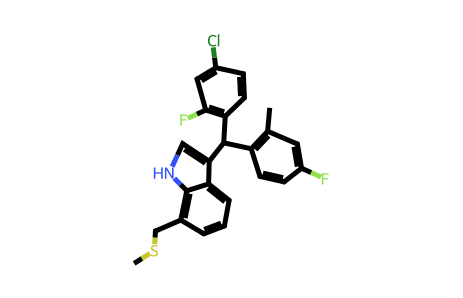 CSCc1cccc2c(C(c3ccc(F)cc3C)c3ccc(Cl)cc3F)c[nH]c12